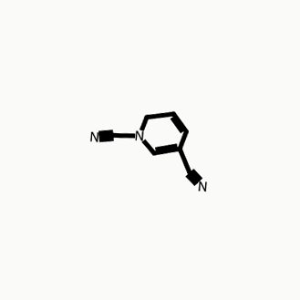 N#CC1=CN(C#N)CC=C1